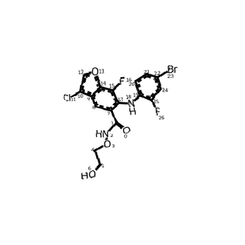 O=C(NOCCO)c1cc2c(Cl)coc2c(F)c1Nc1ccc(Br)cc1F